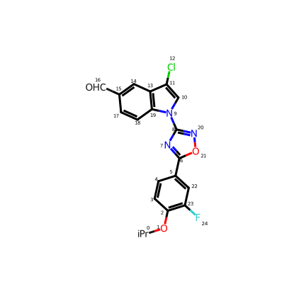 CC(C)Oc1ccc(-c2nc(-n3cc(Cl)c4cc(C=O)ccc43)no2)cc1F